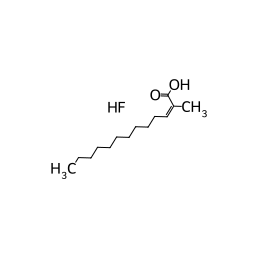 CCCCCCCCCCC=C(C)C(=O)O.F